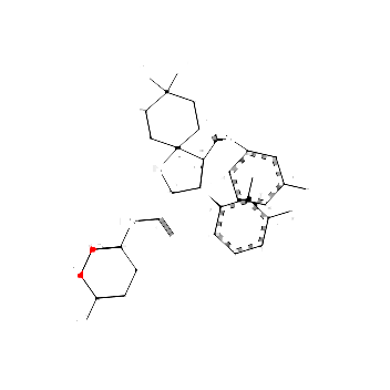 CC(=O)C12CCC(NC(=O)[C@@H]3NC4(CCC(F)(F)CC4)[C@@]4(C(=O)Nc5cc(Cl)ccc54)[C@H]3c3cccc(Cl)c3F)(CC1)CC2